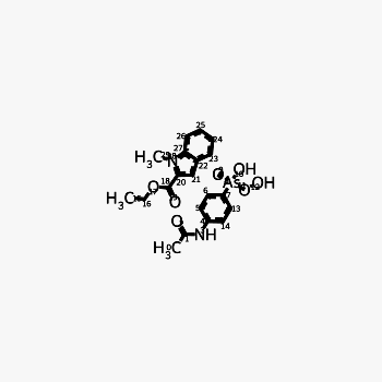 CC(=O)Nc1ccc([As](=O)(O)OO)cc1.CCOC(=O)c1cc2ccccc2n1C